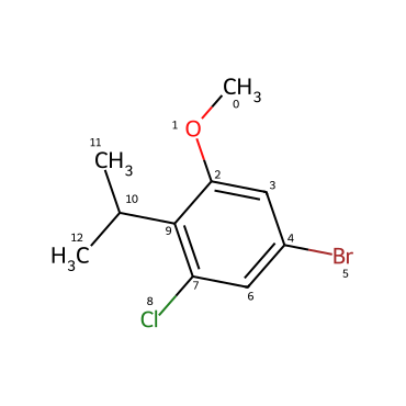 COc1cc(Br)cc(Cl)c1C(C)C